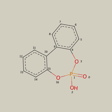 O=P1(O)Oc2ccccc2-c2ccccc2O1